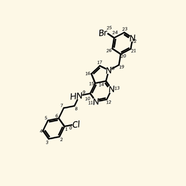 Clc1ccccc1CCNc1ncnc2c1ccn2Cc1cncc(Br)c1